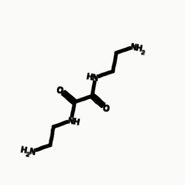 NCCNC(=O)C(=O)NCCN